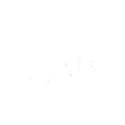 CC1CCC(NC(=O)c2cccc(Br)n2)CC1